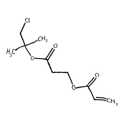 C=CC(=O)OCCC(=O)OC(C)(C)CCl